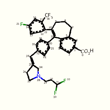 O=C(O)c1ccc2c(c1)CCCC(c1ccc(F)cc1C(F)(F)F)=C2c1ccc(C=C2CCN(CCC(F)F)C2)cc1